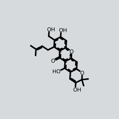 CC(C)=CCc1c(CO)c(O)cc2oc3cc4c(c(O)c3c(=O)c12)C=C(O)C(C)(C)O4